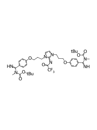 CN(C(=N)c1ccc(OCCCn2ccn(CCCOc3ccc(C(=N)N(C)C(=O)OC(C)(C)C)cc3)c2=NC(=O)C(F)(F)F)cc1)C(=O)OC(C)(C)C